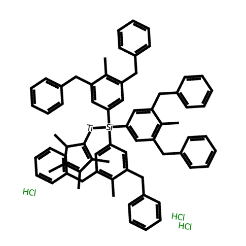 CC1=C(C)C(C)[C]([Ti][Si](c2cc(Cc3ccccc3)c(C)c(Cc3ccccc3)c2)(c2cc(Cc3ccccc3)c(C)c(Cc3ccccc3)c2)c2cc(Cc3ccccc3)c(C)c(Cc3ccccc3)c2)=C1C.Cl.Cl.Cl